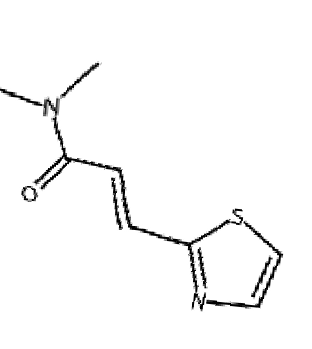 CN(C)C(=O)C=Cc1nccs1